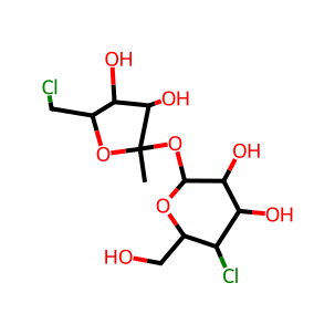 CC1(OC2OC(CO)C(Cl)C(O)C2O)OC(CCl)C(O)C1O